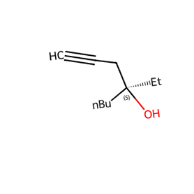 C#CC[C@](O)(CC)CCCC